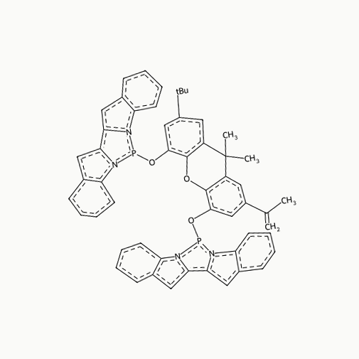 C=C(C)c1cc(Op2n3c4ccccc4cc3c3cc4ccccc4n32)c2c(c1)C(C)(C)c1cc(C(C)(C)C)cc(Op3n4c5ccccc5cc4c4cc5ccccc5n43)c1O2